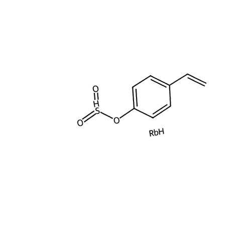 C=Cc1ccc(O[SH](=O)=O)cc1.[RbH]